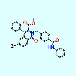 COC(=O)c1c(-c2ccccc2)c2cc(Br)ccc2c(=O)n1Cc1ccc(C(=O)Nc2ccccc2)cc1